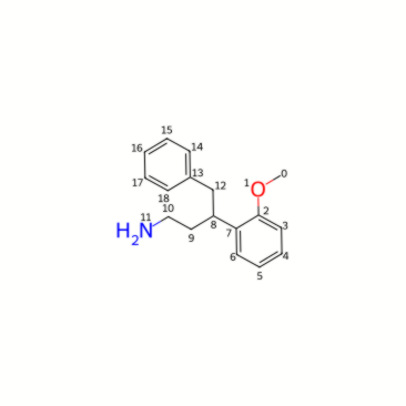 COc1ccccc1C(CCN)Cc1ccccc1